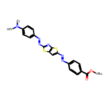 CCCCOC(=O)c1ccc(N=Nc2cc3sc(N=Nc4ccc(N(CC)CCC)cc4)nc3s2)cc1